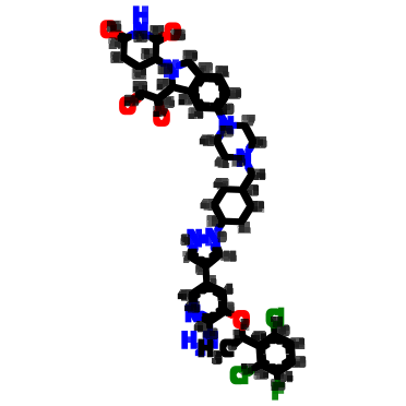 C[C@@H](Oc1cc(-c2cnn(C3CCC(CN4CCN(c5ccc6c(c5)C(C(=O)C=O)N(C5CCC(=O)NC5=O)C6)CC4)CC3)c2)cnc1N)c1c(Cl)ccc(F)c1Cl